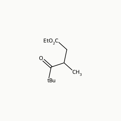 CCOC(=O)CC(C)C(=O)C(C)(C)C